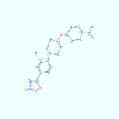 Cc1noc(-c2ccc(N3CCC(OC4CCN(C(C)C)CC4)CC3)c(F)c2)n1